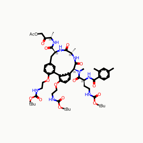 CC(=O)OCC(=O)[C@H](C)NC(=O)[C@@H]1Cc2ccc(OCCNC(=O)OC(C)(C)C)c(c2)-c2cc(ccc2OCCNC(=O)OC(C)(C)C)[C@H](N(C)C(=O)[C@H](CCNC(=O)OC(C)(C)C)NC(=O)c2ccc(C)cc2C)C(=O)N[C@@H](C)C(=O)N1